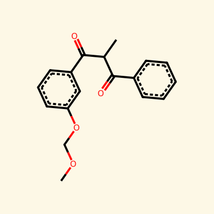 COCOc1cccc(C(=O)C(C)C(=O)c2ccccc2)c1